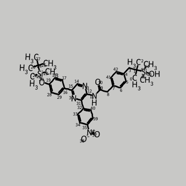 CC(C)(Cc1ccc(CC(=O)Nc2ncc(-c3ccc(O[Si](C)(C)C(C)(C)C)cc3)nc2-c2ccc([N+](=O)[O-])cc2)cc1)[Si](C)(C)O